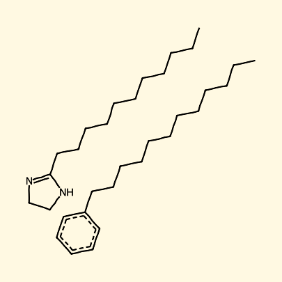 CCCCCCCCCCCC1=NCCN1.CCCCCCCCCCCCc1ccccc1